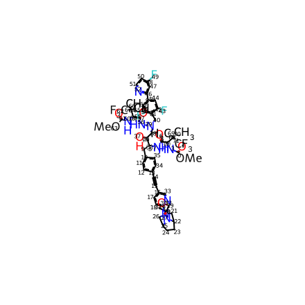 COC(=O)N[C@H](C(=O)N[C@@H](Cc1ccc(C#Cc2ccc(N3CC4CCC(C3)N4C3COC3)nc2)cc1)[C@@H](O)CN(Cc1c(F)cc(-c2cc(F)ccn2)cc1F)NC(=O)[C@@H](NC(=O)OC)C(C)(C)C(F)(F)F)C(C)(C)C(F)(F)F